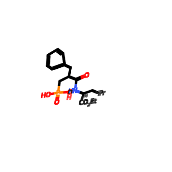 CCOC(=O)[C@H](CC(C)C)NC(=O)C(Cc1ccccc1)CP(=O)(O)O